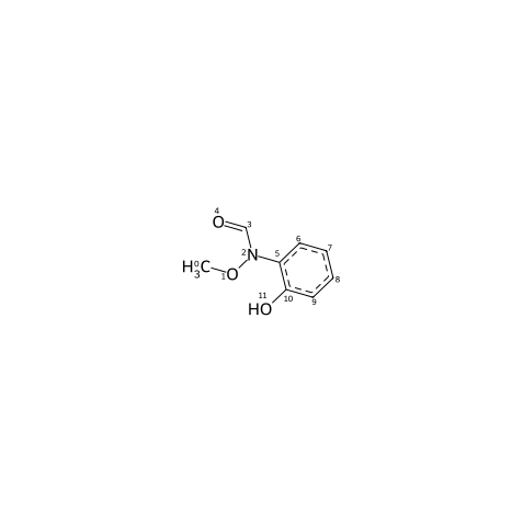 CON(C=O)c1ccccc1O